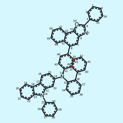 c1ccc(-c2nc3cc(-c4ccc(N(c5ccc6c7ccccc7n(-c7ccccc7)c6c5)c5ccccc5-c5ccccc5)cc4)c4ccccc4c3o2)cc1